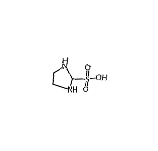 O=S(=O)(O)C1NCCN1